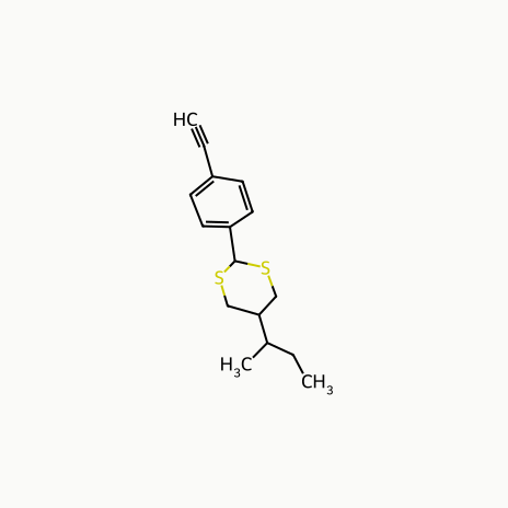 C#Cc1ccc(C2SCC(C(C)CC)CS2)cc1